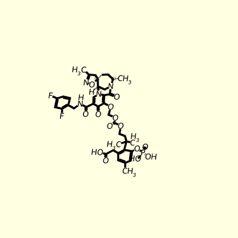 CC1=NO[C@@]2(CC[C@H](C)N3C[C@H]2n2cc(C(=O)NCc4ccc(F)cc4F)c(=O)c(OCOC(=O)OCCC(C)(C)c4c(CC(=O)O)cc(C)cc4OP(=O)(O)O)c2C3=O)C1